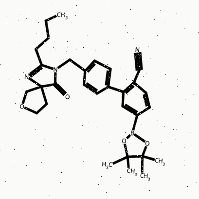 CCCCC1=NC2(CCOC2)C(=O)N1Cc1ccc(-c2cc(B3OC(C)(C)C(C)(C)O3)ccc2C#N)cc1